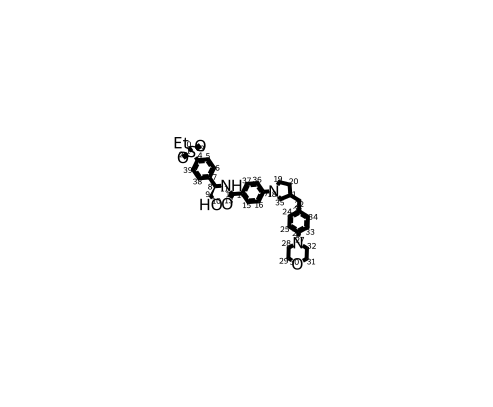 CCS(=O)(=O)c1ccc([C@H](CO)NC(=O)c2ccc(N3CCC(Cc4ccc(N5CCOCC5)cc4)C3)cc2)cc1